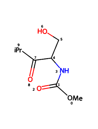 COC(=O)NC(CO)C(=O)C(C)C